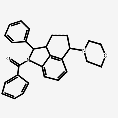 O=C(c1ccccc1)N1c2cccc3c2C(CCC3N2CCOCC2)C1c1ccccc1